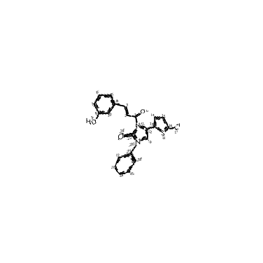 O=C(C=Cc1cccc(O)c1)n1c(-c2ccc(Cl)s2)cn(-c2ccccc2)c1=O